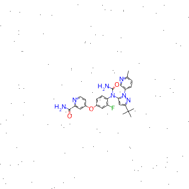 Cc1ccc(-n2nc(C(C)(C)C)cc2N(C(N)=O)c2ccc(Oc3ccnc(C(N)=O)c3)cc2F)cn1